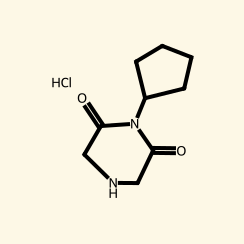 Cl.O=C1CNCC(=O)N1C1CCCC1